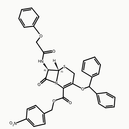 O=C(COc1ccccc1)N[C@@H]1C(=O)N2C(C(=O)OCc3ccc([N+](=O)[O-])cc3)=C(OC(c3ccccc3)c3ccccc3)CS[C@@H]12